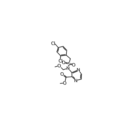 COCN(c1nccnc1C(=O)OC)S(=O)(=O)Cc1ccc(Cl)cc1Cl